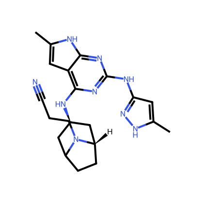 Cc1cc(Nc2nc(N[C@@H]3CC4CC[C@@H](C3)N4CCC#N)c3cc(C)[nH]c3n2)n[nH]1